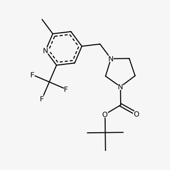 Cc1cc(CN2CCN(C(=O)OC(C)(C)C)C2)cc(C(F)(F)F)n1